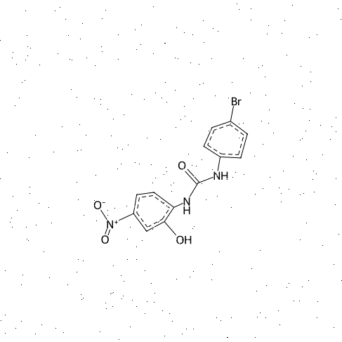 O=C(Nc1ccc(Br)cc1)Nc1ccc([N+](=O)[O-])cc1O